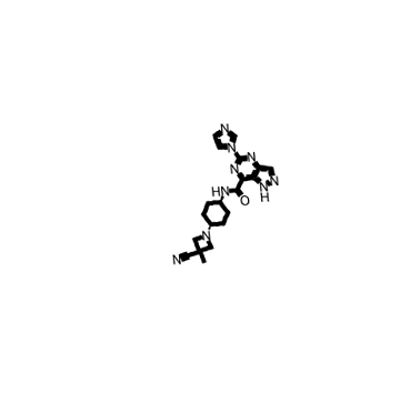 CC1(C#N)CN([C@H]2CC[C@H](NC(=O)c3nc(-n4ccnc4)nc4cn[nH]c34)CC2)C1